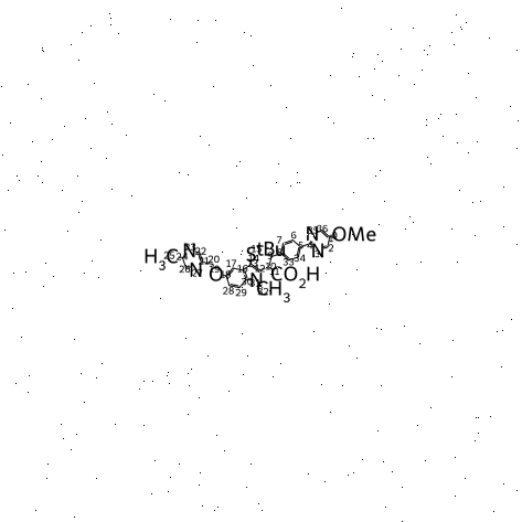 COc1cnc(-c2ccc(CC(C(=O)O)c3c(SC(C)(C)C)c4cc(OCc5cnc(C)cn5)ccc4n3C)cc2)nc1